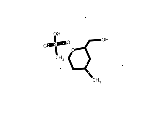 CC1CCOC(CO)C1.CS(=O)(=O)O